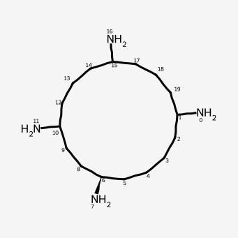 NC1CCCC[C@@H](N)CCC(N)CCCC(N)CCC1